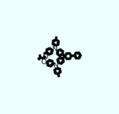 C=C(C)C(=O)Oc1ccc(N(c2ccc(C)cc2)c2ccc(C3(c4ccc(N(c5ccc(C)cc5)c5ccc(C)cc5)cc4)CCC(c4ccccc4)CC3)cc2)cc1